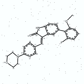 COc1cccc(F)c1-c1ccc2c(c1)/C(=C/c1ccc(N3CCOCC3)nc1)C(=O)N2